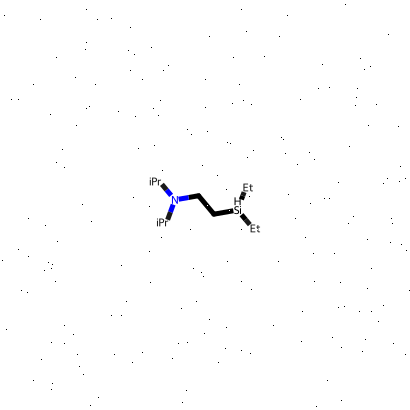 CC[SiH](CC)CCN(C(C)C)C(C)C